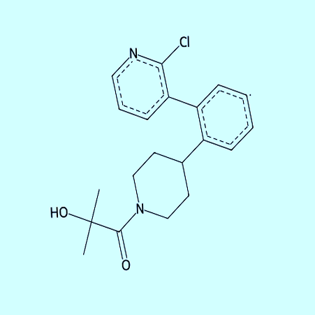 CC(C)(O)C(=O)N1CCC(c2cc[c]cc2-c2cccnc2Cl)CC1